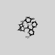 Cc1ccc(-c2ncccn2)c(C(=O)N2CC3CC34CC(Nc3ccc(Br)cn3)C24)n1